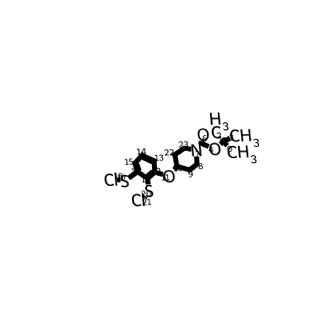 CC(C)(C)OC(=O)N1CCC(Oc2cccc(SCl)c2SCl)CC1